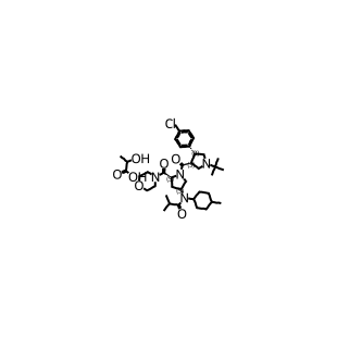 CC(O)C(=O)O.CC1CCC(N(C(=O)C(C)C)[C@H]2C[C@@H](C(=O)N3CCOCC3)N(C(=O)[C@@H]3CN(C(C)(C)C)C[C@H]3c3ccc(Cl)cc3)C2)CC1